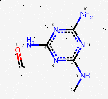 C=O.CNc1nc(N)nc(N)n1